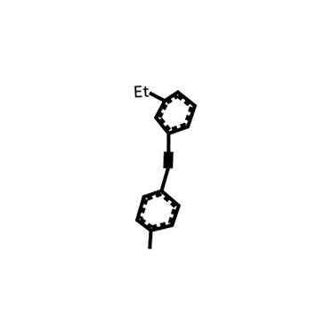 CCc1cccc(C#Cc2ccc(C)cc2)c1